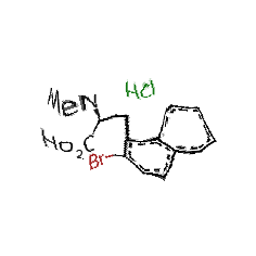 CN[C@@H](Cc1c(Br)ccc2ccccc12)C(=O)O.Cl